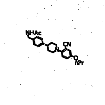 CCCOc1ccc(N2CCC(c3ccc(CNC(C)=O)cc3)CC2)c(C#N)c1